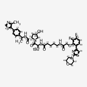 Cc1ncsc1-c1ccc(C(C)NC(=O)[C@@H]2C[C@@H](O)CN2C(=O)C(NC(=O)CCCCNC(=O)COc2c(-c3csc(N4CCOCC4)n3)ccc(F)c2F)C(C)(C)C)cc1